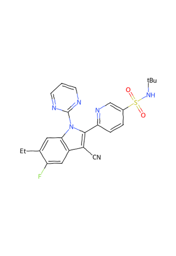 CCc1cc2c(cc1F)c(C#N)c(-c1ccc(S(=O)(=O)NC(C)(C)C)cn1)n2-c1ncccn1